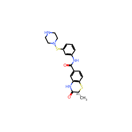 C[C@H]1Sc2ccc(C(=O)Nc3cccc(SN4CCNCC4)c3)cc2NC1=O